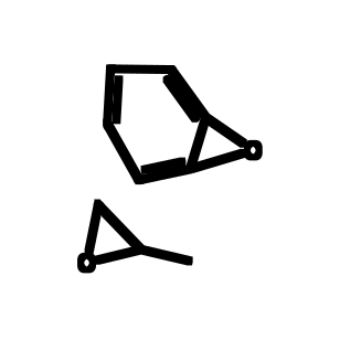 CC1CO1.c1ccc2c(c1)O2